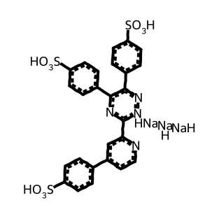 O=S(=O)(O)c1ccc(-c2ccnc(-c3nnc(-c4ccc(S(=O)(=O)O)cc4)c(-c4ccc(S(=O)(=O)O)cc4)n3)c2)cc1.[NaH].[NaH].[NaH]